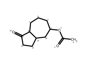 CC(=O)OC1CCCC2C(=O)CCC2C1